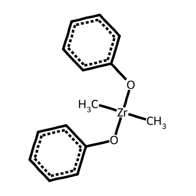 [CH3][Zr]([CH3])([O]c1ccccc1)[O]c1ccccc1